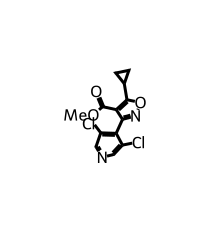 COC(=O)c1c(-c2c(Cl)cncc2Cl)noc1C1CC1